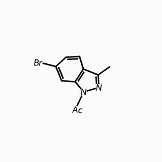 CC(=O)n1nc(C)c2ccc(Br)cc21